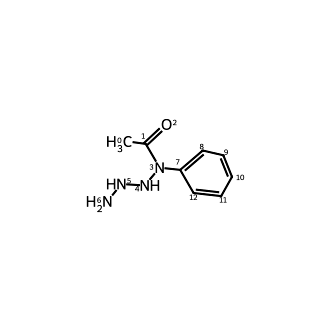 CC(=O)N(NNN)c1ccccc1